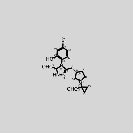 O=CC1NN=C(C[C@@H]2CCN(C3(C=O)CC3)C2)N1c1ccc(Br)cc1O